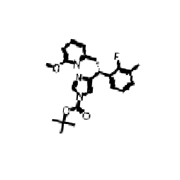 COc1cccc(C[C@@H](c2cn(C(=O)OC(C)(C)C)cn2)c2cccc(C)c2F)n1